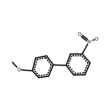 COc1ccc(-c2cccc([N+](=O)[O-])c2)cc1